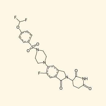 O=C1CCC(N2Cc3cc(N4CCN(S(=O)(=O)c5ccc(OC(F)F)cc5)CC4)c(F)cc3C2=O)C(=O)N1